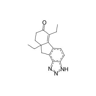 CCC1=C2c3ccc4[nH]nnc4c3CC2(CC)CCC1=O